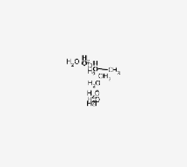 CO.Cl.O.O.O.O.O.O.O